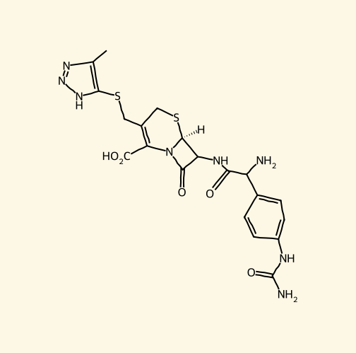 Cc1nn[nH]c1SCC1=C(C(=O)O)N2C(=O)C(NC(=O)C(N)c3ccc(NC(N)=O)cc3)[C@@H]2SC1